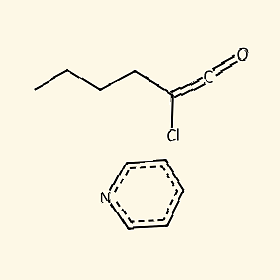 CCCCC(Cl)=C=O.c1ccncc1